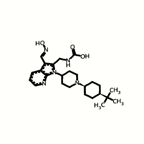 CC(C)(C)[C@H]1CC[C@@H](N2CCC(n3c(CNC(=O)O)c(C=NO)c4cccnc43)CC2)CC1